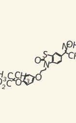 CC(=NO)c1ccc2c(c1)sc(=O)n2CCOc1ccc(OC(C)(C)C(=O)O)cc1